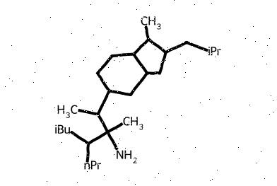 CCCC(C(C)CC)C(C)(N)C(C)C1CCC2C(CC(CC(C)C)C2C)C1